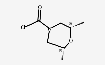 C[C@@H]1CN(C(=O)Cl)C[C@H](C)O1